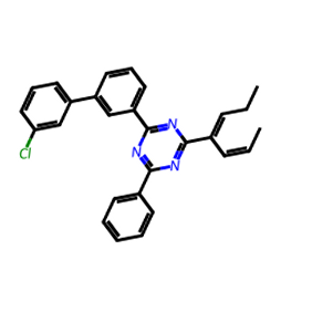 C/C=C\C(=C/CC)c1nc(-c2ccccc2)nc(-c2cccc(-c3cccc(Cl)c3)c2)n1